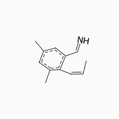 C/C=C\c1c(C)cc(C)cc1C=N